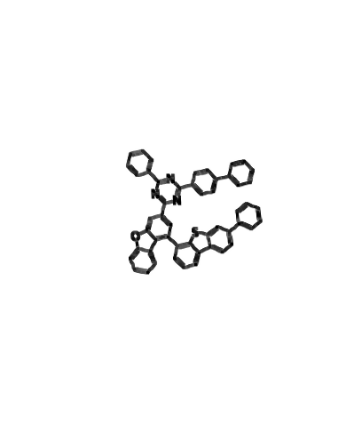 c1ccc(-c2ccc(-c3nc(-c4ccccc4)nc(-c4cc(-c5cccc6c5sc5cc(-c7ccccc7)ccc56)c5c(c4)oc4ccccc45)n3)cc2)cc1